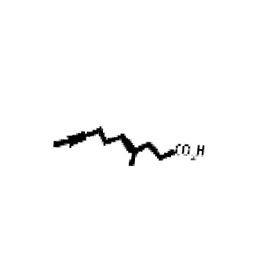 CC#CCC/C=C(\C)CCC(=O)O